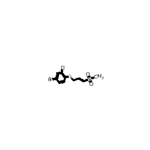 CS(=O)(=O)CCCOc1c[c]c(Br)cc1Cl